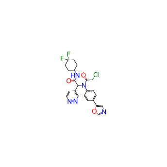 O=C(NC1CCC(F)(F)CC1)C(c1ccnnc1)N(C(=O)CCl)c1ccc(-c2cnco2)cc1